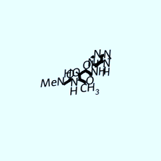 CNCC(=O)N[C@@H]1[C@@H](O)[C@H](O)[C@@H](Nc2ncnc3nc[nH]c23)O[C@H]1C